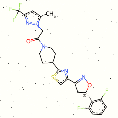 Cc1cc(C(F)(F)F)nn1CC(=O)N1CCC(c2nc(C3=NO[C@H](c4c(F)cccc4F)C3)cs2)CC1